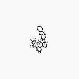 Cc1cc(NC2=CN(C)CC(c3ccnc(N4CCn5c(cc6c5CCCC6)C4=O)c3C=O)=C2)n[nH]1